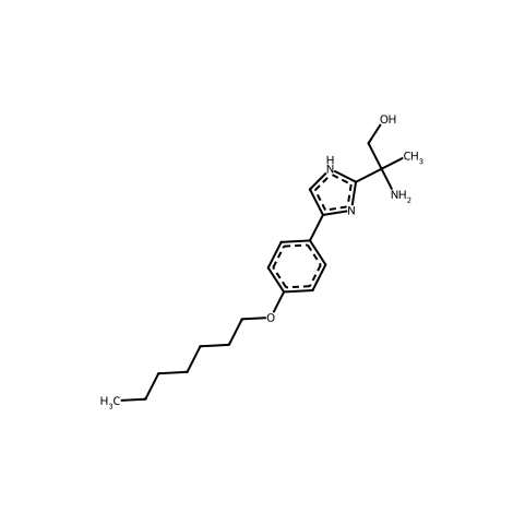 CCCCCCCOc1ccc(-c2c[nH]c(C(C)(N)CO)n2)cc1